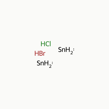 Br.Cl.[SnH2].[SnH2]